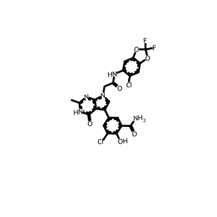 Cc1nc2c(c(-c3cc(Cl)c(O)c(C(N)=O)c3)cn2CC(=O)Nc2cc3c(cc2Cl)OC(F)(F)O3)c(=O)[nH]1